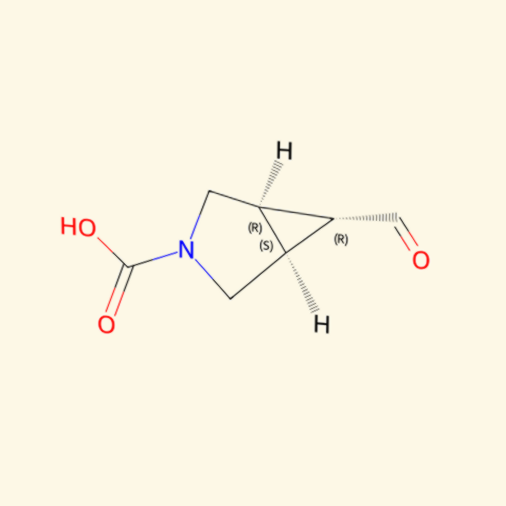 O=C[C@@H]1[C@H]2CN(C(=O)O)C[C@@H]12